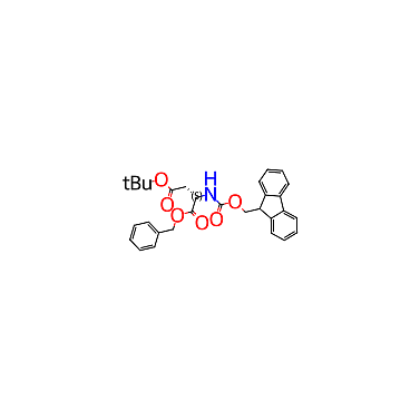 CC(C)(C)OC(=O)C[C@H](NC(=O)OCC1c2ccccc2-c2ccccc21)C(=O)OCc1ccccc1